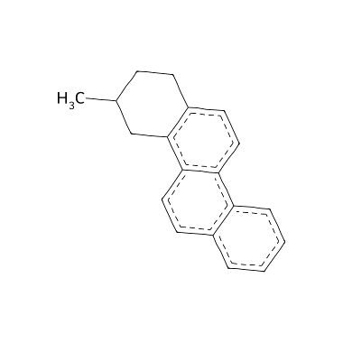 CC1CCc2ccc3c(ccc4ccccc43)c2C1